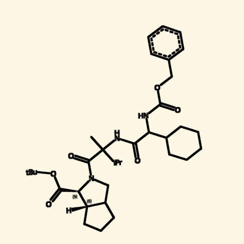 CC(C)C(C)(NC(=O)C(NC(=O)OCc1ccccc1)C1CCCCC1)C(=O)N1CC2CCC[C@@H]2[C@H]1C(=O)OC(C)(C)C